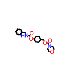 O=C(NCc1ccccc1)OC1CCC(COC(=O)N2CCOCC2)CC1